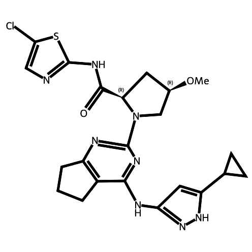 CO[C@@H]1C[C@H](C(=O)Nc2ncc(Cl)s2)N(c2nc3c(c(Nc4cc(C5CC5)[nH]n4)n2)CCC3)C1